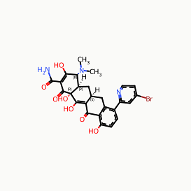 CN(C)[C@H]1C(O)=C(C(N)=O)C(=O)[C@]2(O)C(O)=C3C(=O)c4c(O)ccc(-c5cc(Br)ccn5)c4C[C@@H]3C[C@H]12